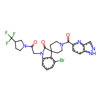 O=C(CN1C(=O)C2(CCN(C(=O)c3ccc4[nH]ncc4n3)CC2)c2c(Br)cccc21)N1CCC(C(F)(F)F)C1